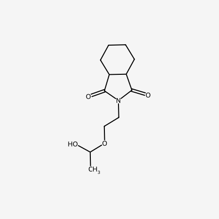 CC(O)OCCN1C(=O)C2CCCCC2C1=O